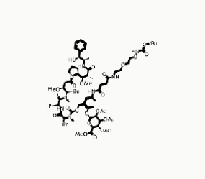 CC[C@H](C)[C@@H]([C@@H](CC(=O)N1CCC[C@H]1[C@H](OC)[C@@H](C)C(=O)N[C@H](C)[C@@H](O)c1ccccc1)OC)N(C)C(=O)[C@@H](NC(=O)[C@H](C(C)C)N(C)C(=O)OCC(/C=C(\C)NC(=O)CCC(=O)NCCOCCONC(=O)OC(C)(C)C)=C(/C)O[C@@H]1OC(C(=O)OC)[C@@H](OC(C)=O)C(OC(C)=O)C1OC(C)=O)C(C)C